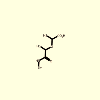 CC(C)NC(=O)C(S)OC(S)C(=O)O